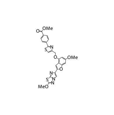 COC(=O)c1ccc(-c2nc(COc3cc(OC)cc4oc(-c5cn6nc(OC)sc6n5)cc34)cs2)cc1